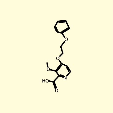 COc1c(OCCOc2ccccc2)ccnc1C(=O)O